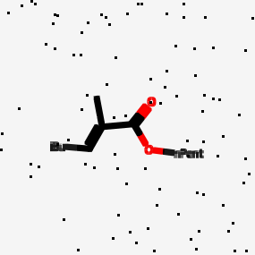 CCCCCOC(=O)C(C)=CC(C)CC